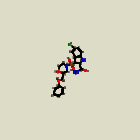 NC(=O)c1[nH]c2ccc(Br)cc2c1S(=O)(=O)N1CCO[C@H](COc2ccccc2)C1